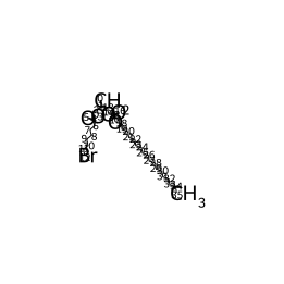 C=C(COC(=O)CCCCCCBr)COC(=O)OCCCCCCCCCCCCCCCCCC